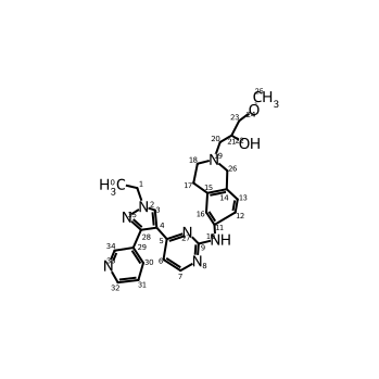 CCn1cc(-c2ccnc(Nc3ccc4c(c3)CCN(CC(O)COC)C4)n2)c(-c2cccnc2)n1